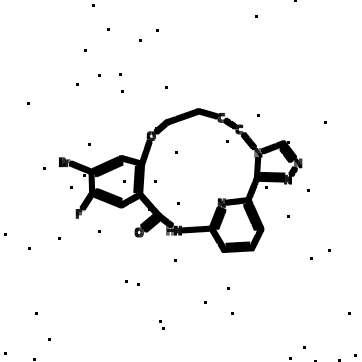 O=C1Nc2cccc(n2)-c2nncn2CCCCOc2cc(Br)c(F)cc21